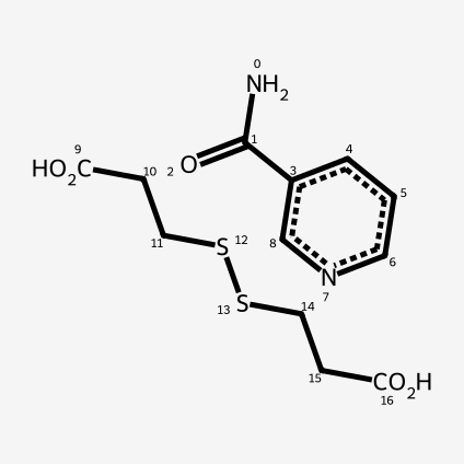 NC(=O)c1cccnc1.O=C(O)CCSSCCC(=O)O